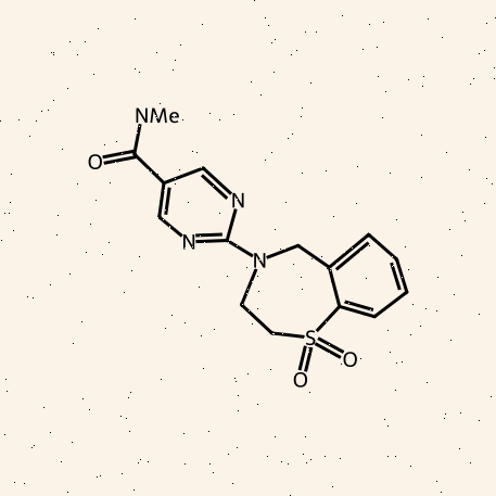 CNC(=O)c1cnc(N2CCS(=O)(=O)c3ccccc3C2)nc1